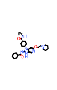 CC(C)NC(=O)[C@H]1CC[C@@H](n2/c(=N/C(=O)C3CCCCC3)[nH]c3cnc(OCCN4CCCCC4)cc32)CC1